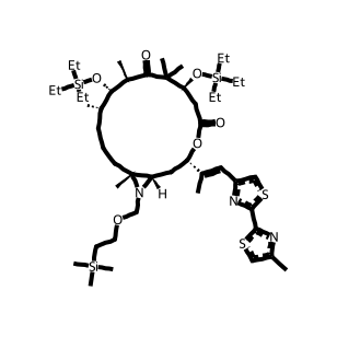 CC[Si](CC)(CC)O[C@H]1[C@@H](C)CCC[C@]2(C)[C@H](C[C@@H](/C(C)=C/c3csc(-c4nc(C)cs4)n3)OC(=O)C[C@H](O[Si](CC)(CC)CC)C(C)(C)C(=O)[C@@H]1C)N2COCC[Si](C)(C)C